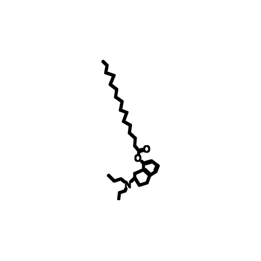 CCCCCCCCCCCCCCCC(=O)Oc1cccc2c1CC(N(CCC)CCC)CC2